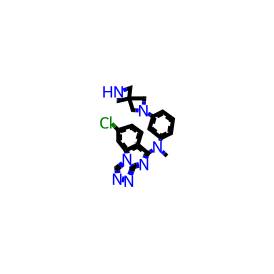 CN(c1cccc(N2CC3(CNC3)C2)c1)c1nc2nncn2c2cc(Cl)ccc12